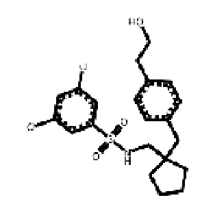 O=S(=O)(NCC1(Cc2ccc(CCO)cc2)CCCC1)c1cc(Cl)cc(Cl)c1